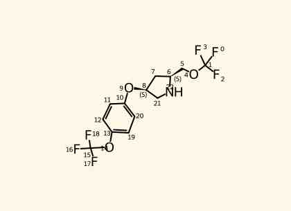 FC(F)(F)OC[C@@H]1C[C@H](Oc2ccc(OC(F)(F)F)cc2)CN1